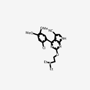 CCN(CC)CCOc1nc(-c2cc(OC)c(OC)cc2Cl)c2c(C#N)c[nH]c2n1